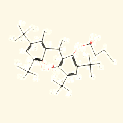 CCCC(=O)Oc1c(C(C)(C)C)cc(C(C)(C)C)c(C)c1C(C)c1c(C)c(C(C)(C)C)cc(C(C)(C)C)c1O